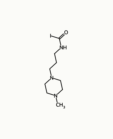 CN1CCN(CCCNC(=O)I)CC1